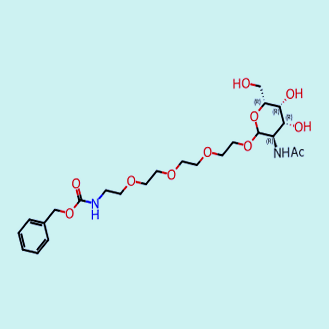 CC(=O)N[C@H]1C(OCCOCCOCCOCCNC(=O)OCc2ccccc2)O[C@H](CO)[C@H](O)[C@@H]1O